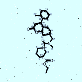 CCOC(=O)[C@@H]1CCCN(C(=O)N(C)Cc2ccc3c(-c4ccccc4C)cc(=O)oc3c2)C1